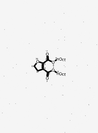 CCCCCCCCOC(=O)C1=C(C(=O)OCCCCCCCC)OCC1